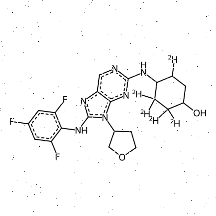 [2H]C1CC(O)C([2H])([2H])C([2H])([2H])C1Nc1ncc2nc(Nc3c(F)cc(F)cc3F)n(C3CCOC3)c2n1